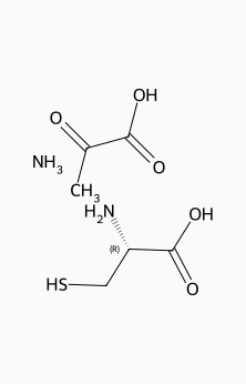 CC(=O)C(=O)O.N.N[C@@H](CS)C(=O)O